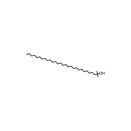 CCCCCCCCCCCCCCCCCCCCCCCCCCCC(C)(C)O